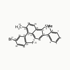 CSc1c(-c2ccccc2F)ccc2c(-c3cc(Br)ccc3F)c(C)ccc12